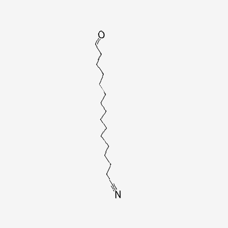 N#CCCCCCCCCCCCCCCC=O